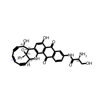 CC(C)[C@@]12O[C@]13c1cc(O)c4c(c1N[C@H]2C#C/C=C\C#C[C@H]3O)C(=O)c1ccc(NC(=O)[C@@H](N)CO)cc1C4=O